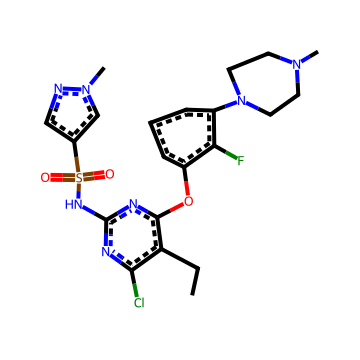 CCc1c(Cl)nc(NS(=O)(=O)c2cnn(C)c2)nc1Oc1cccc(N2CCN(C)CC2)c1F